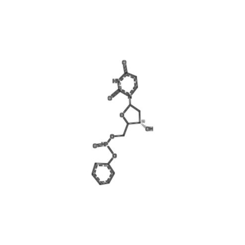 O=c1ccn(C2C[C@H](O)C(CO[PH](=O)Oc3ccccc3)O2)c(=O)[nH]1